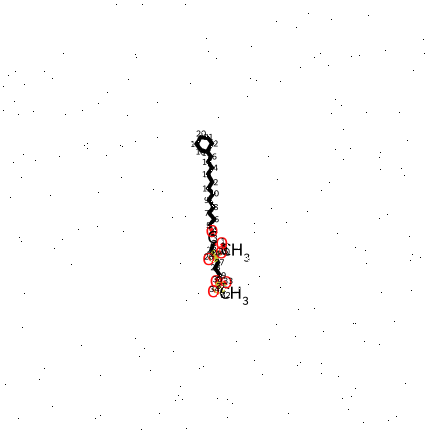 COC(COCCCCCCCCCCCCC1CCCCC1)CS(=O)(=O)CCCOS(C)(=O)=O